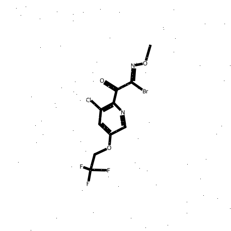 CON=C(Br)C(=O)c1ncc(OCC(F)(F)F)cc1Cl